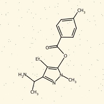 CCc1c(C(C)N)nn(C)c1OC(=O)c1ccc(C)cc1